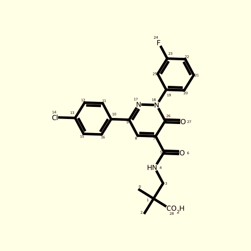 CC(C)(CNC(=O)c1cc(-c2ccc(Cl)cc2)nn(-c2cccc(F)c2)c1=O)C(=O)O